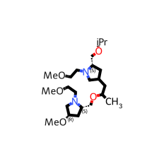 COCCN1CC(CC(C)OC[C@@H]2C[C@@H](OC)CN2CCOC)C[C@H]1COC(C)C